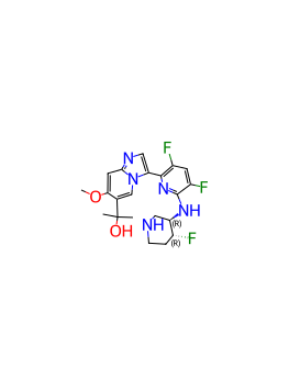 COc1cc2ncc(-c3nc(N[C@@H]4CNCC[C@H]4F)c(F)cc3F)n2cc1C(C)(C)O